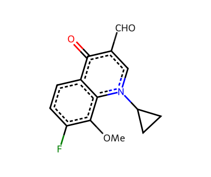 COc1c(F)ccc2c(=O)c(C=O)cn(C3CC3)c12